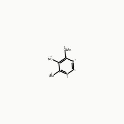 COc1ncnc(C(C)(C)C)c1C#N